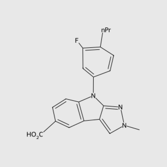 CCCc1ccc(-n2c3ccc(C(=O)O)cc3c3cn(C)nc32)cc1F